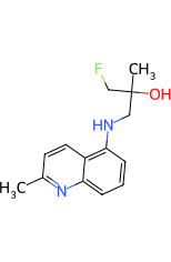 Cc1ccc2c(NCC(C)(O)CF)cccc2n1